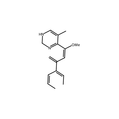 C=C(/C=C(/OC)C1=NCNC=C1C)C(/C=C\C)=C/C